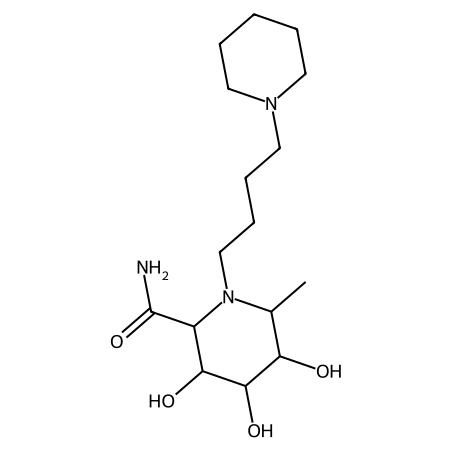 CC1C(O)C(O)C(O)C(C(N)=O)N1CCCCN1CCCCC1